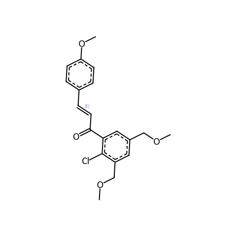 COCc1cc(COC)c(Cl)c(C(=O)/C=C/c2ccc(OC)cc2)c1